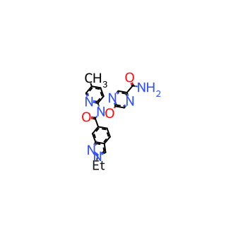 CCn1cc2ccc(C(=O)N(Oc3cnc(C(N)=O)cn3)c3ccc(C)cn3)cc2n1